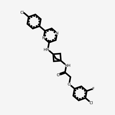 O=C(COc1ccc(Cl)c(F)c1)NC12CC(Nc3cncc(-c4ccc(Cl)cc4)n3)(C1)C2